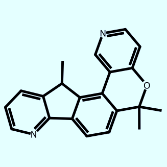 CC1c2cccnc2-c2ccc3c(c21)-c1cnccc1OC3(C)C